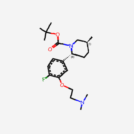 C[C@H]1CC[C@H](c2ccc(F)c(OCCN(C)C)c2)N(C(=O)OC(C)(C)C)C1